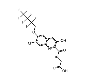 O=C(O)CNC(=O)c1nc2cc(Cl)c(OCC(F)(F)C(F)(F)C(F)(F)F)cc2cc1O